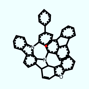 C1=CC2c3ccc4c5ccccc5n(-c5cccc(-c6ccccc6)c5)c4c3N(c3ccc4c5c(cccc35)-c3ccccc3-4)C2c2c1oc1ccccc21